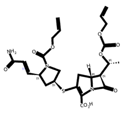 C=CCOC(=O)O[C@H](C)[C@H]1C(=O)N2C(C(=O)O)=C(S[C@H]3C[C@@H](/C=C/C(N)=O)N(C(=O)OCC=C)C3)C[C@H]12